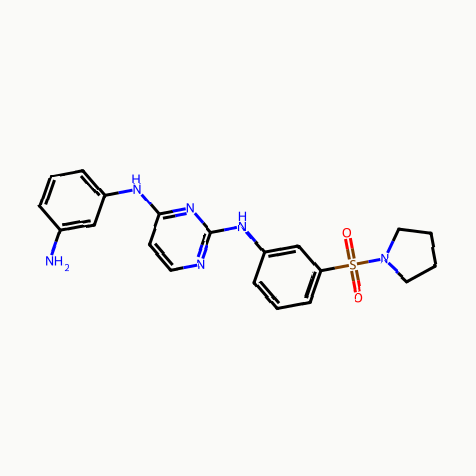 Nc1cccc(Nc2ccnc(Nc3cccc(S(=O)(=O)N4CCCC4)c3)n2)c1